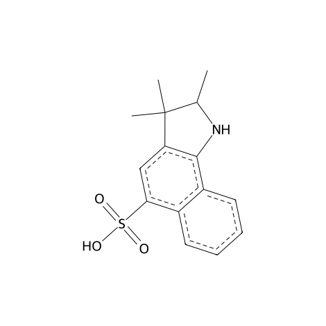 CC1Nc2c(cc(S(=O)(=O)O)c3ccccc23)C1(C)C